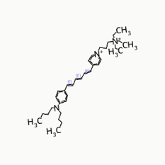 CCCCN(CCCC)c1ccc(/C=C/C=C/C=C/c2cc[n+](CCC[N+](CC)(CC)CC)cc2)cc1